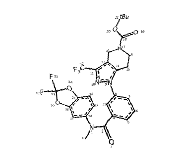 CN(C(=O)c1cccc(-n2nc(C(F)(F)F)c3c2CCN(C(=O)OC(C)(C)C)C3)c1)c1ccc2c(c1)OC(F)(F)O2